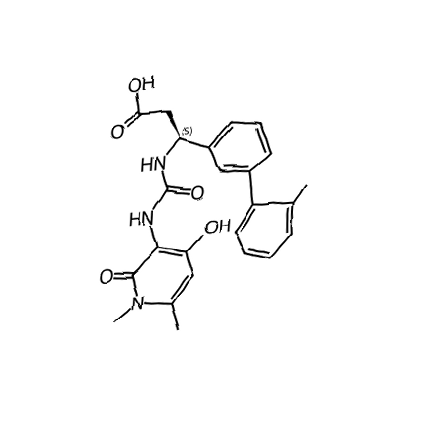 Cc1ccccc1-c1cccc([C@H](CC(=O)O)NC(=O)Nc2c(O)cc(C)n(C)c2=O)c1